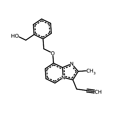 C#CCc1c(C)nc2c(OCc3ccccc3CO)cccn12